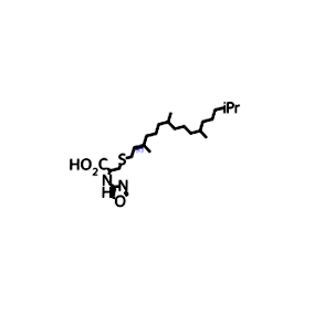 C/C(=C\CSCC(Nc1cocn1)C(=O)O)CCCC(C)CCCC(C)CCCC(C)C